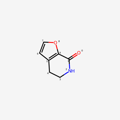 O=C1NCCc2ccoc21